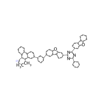 C/C=C\c1c(C)c2cc(-c3cccc(-c4ccc5oc6cc(-c7nc(-c8ccccc8)nc(-c8ccc9c(c8)oc8ccccc89)n7)ccc6c5c4)c3)ccc2c2ccccc12